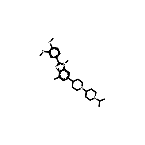 COc1ccc(-c2nc3c(C)cc(C4CCN(C5CCN(C(C)C)CC5)CC4)cc3n2C)cc1OC